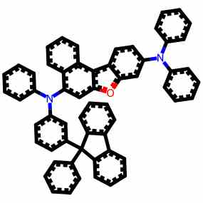 c1ccc(N(c2ccccc2)c2ccc3c(c2)oc2cc(N(c4ccccc4)c4cccc(C5(c6ccccc6)c6ccccc6-c6ccccc65)c4)c4ccccc4c23)cc1